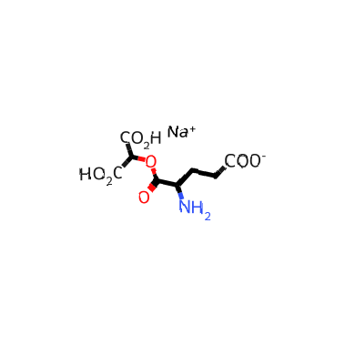 NC(CCC(=O)[O-])C(=O)OC(C(=O)O)C(=O)O.[Na+]